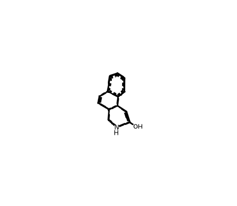 OC1=CC2c3ccccc3C=CC2CN1